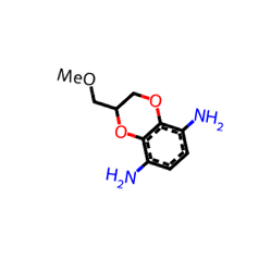 COCC1COc2c(N)ccc(N)c2O1